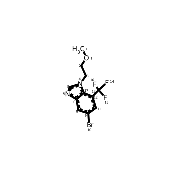 COCCn1cnc2cc(Br)cc(C(F)(F)F)c21